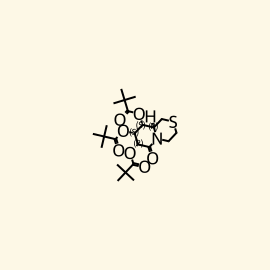 CC(C)(C)C(=O)O[C@@H]1[C@H](OC(=O)C(C)(C)C)[C@@H](OC(=O)C(C)(C)C)C(=O)N2CCSC[C@@H]12